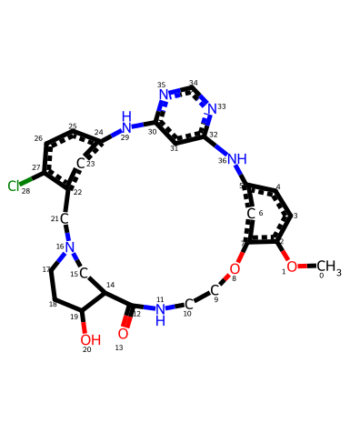 COc1ccc2cc1OCCNC(=O)C1CN(CCC1O)Cc1cc(ccc1Cl)Nc1cc(ncn1)N2